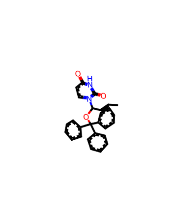 CC=CC(OC(c1ccccc1)(c1ccccc1)c1ccccc1)n1ccc(=O)[nH]c1=O